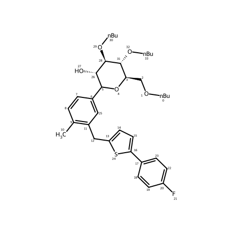 CCCCOC[C@H]1OC(c2ccc(C)c(Cc3ccc(-c4ccc(F)cc4)s3)c2)[C@H](O)[C@@H](OCCCC)[C@@H]1OCCCC